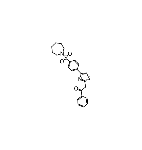 O=C(Cc1nc(-c2ccc(S(=O)(=O)N3CCCCCC3)cc2)cs1)c1ccccc1